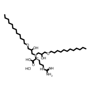 CCCCCCCCCCCCOCC(O)CN(CC(O)COCCCCCCCCCCCC)[C@@H](CCCNC(=N)N)C(=O)O.Cl